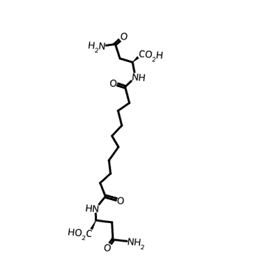 NC(=O)C[C@H](NC(=O)CCCCCCCCC(=O)N[C@@H](CC(N)=O)C(=O)O)C(=O)O